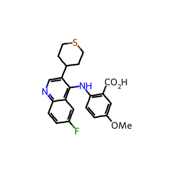 COc1ccc(Nc2c(C3CCSCC3)cnc3ccc(F)cc23)c(C(=O)O)c1